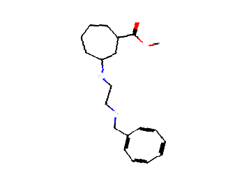 COC(=O)C1CCCCC(NCCNCC2=C/C=C\C=C/C=C\2)C1